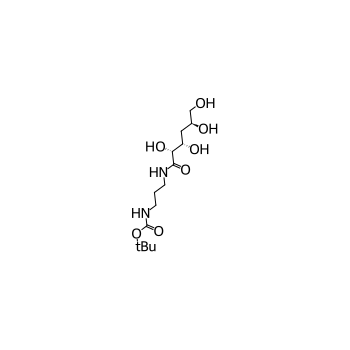 CC(C)(C)OC(=O)NCCCNC(=O)[C@H](O)[C@@H](O)C[C@H](O)CO